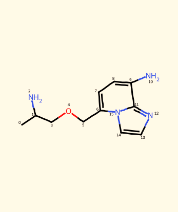 CC(N)COCc1ccc(N)c2nccn12